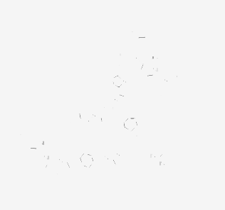 CCCC(=O)OCN(C(=O)[C@@H](NC(=O)[C@H]1CCCCN1C)C(C)CC)[C@H](C[C@@H](O)c1nc(C(=O)N[C@@H](Cc2ccc(O)cc2)C[C@H](C)C(=O)NNC(=O)OCCSSC[C@H](NC(=O)[C@H](CC(=O)O)NC(=O)[C@H](CC(=O)O)NC(=O)Cc2ccc(CNC(=O)NCCCC[C@@H](NC(=O)N[C@H](CCCC(=O)O)C(=O)O)C(=O)O)cc2)C(=O)O)cs1)C(C)C